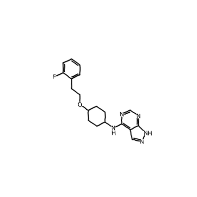 Fc1ccccc1CCOC1CCC(Nc2ncnc3[nH]ncc23)CC1